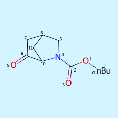 CCCCOC(=O)N1CC2CC(=O)C1C2